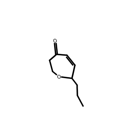 CCCC1C=CC(=O)CCO1